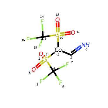 N=[CH][Co]([S](=O)(=O)C(F)(F)F)[S](=O)(=O)C(F)(F)F